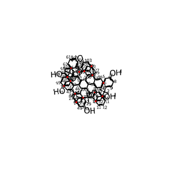 CC(C)(c1ccc(O)cc1)c1ccccc1OC(=O)c1c(-c2ccccc2C(C)(C)c2ccc(O)cc2)c(-c2ccccc2C(C)(C)c2ccc(O)cc2)c(C(=O)Oc2ccccc2C(C)(C)c2ccc(O)cc2)c(-c2ccccc2C(C)(C)c2ccc(O)cc2)c1-c1ccccc1C(C)(C)c1ccc(O)cc1